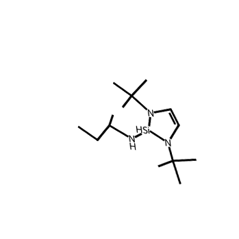 CCC(C)N[SiH]1N(C(C)(C)C)C=CN1C(C)(C)C